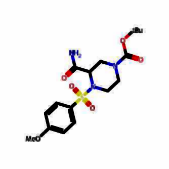 COc1ccc(S(=O)(=O)N2CCN(C(=O)OC(C)(C)C)CC2C(N)=O)cc1